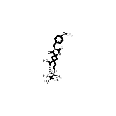 COc1ccc(CN2C(=O)NC3(CC(CCO[Si](C)(C)C(C)(C)C)(C(=O)O)C3)C2=O)cc1